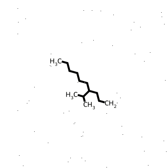 [CH2]CCC(CCCCCC)C(C)C